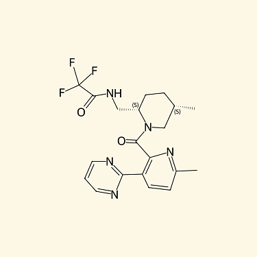 Cc1ccc(-c2ncccn2)c(C(=O)N2C[C@@H](C)CC[C@H]2CNC(=O)C(F)(F)F)n1